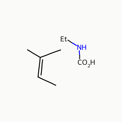 CC=C(C)C.CCNC(=O)O